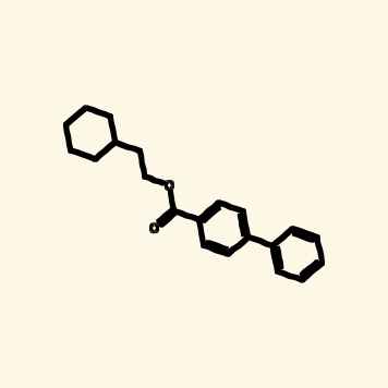 O=C(OCCC1CCCCC1)c1ccc(-c2ccccc2)cc1